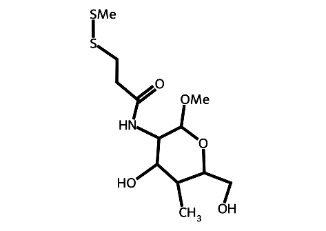 COC1OC(CO)C(C)C(O)C1NC(=O)CCSSC